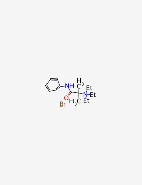 CC[N+](CC)(CC)C(C)(C)C(=O)Nc1ccccc1.[Br-]